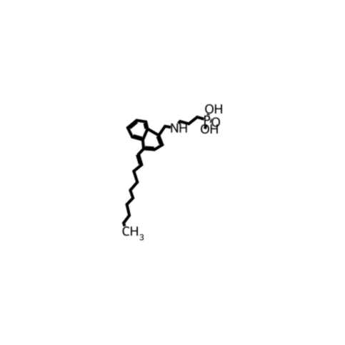 CCCCCCCCC=Cc1ccc(CNCCCP(=O)(O)O)c2ccccc12